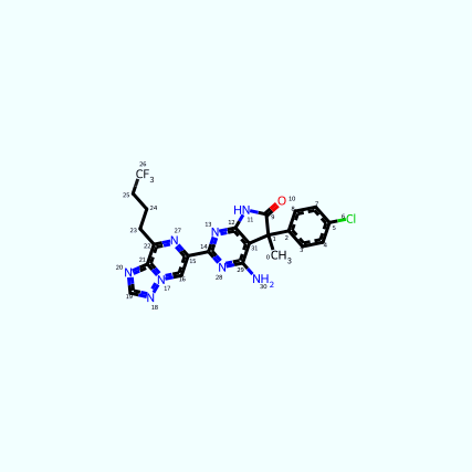 CC1(c2ccc(Cl)cc2)C(=O)Nc2nc(-c3cn4ncnc4c(CCCC(F)(F)F)n3)nc(N)c21